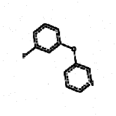 Fc1cc[c]c(Oc2cccnc2)c1